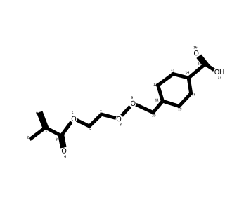 C=C(C)C(=O)OCCOOCC1CCC(C(=O)O)CC1